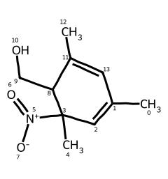 CC1=CC(C)([N+](=O)[O-])C(CO)C(C)=C1